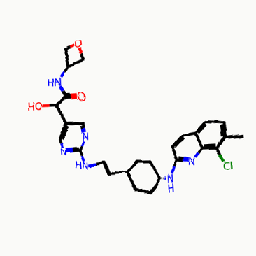 Cc1ccc2ccc(N[C@H]3CC[C@H](CCNc4ncc(C(O)C(=O)NC5COC5)cn4)CC3)nc2c1Cl